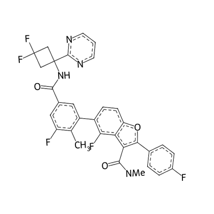 CNC(=O)c1c(-c2ccc(F)cc2)oc2ccc(-c3cc(C(=O)NC4(c5ncccn5)CC(F)(F)C4)cc(F)c3C)c(F)c12